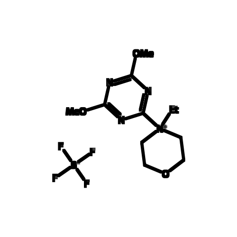 CC[N+]1(c2nc(OC)nc(OC)n2)CCOCC1.F[B-](F)(F)F